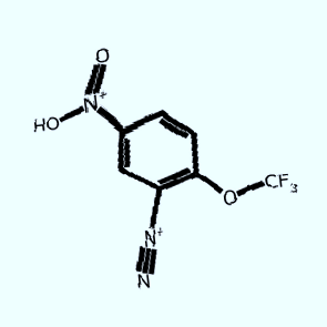 N#[N+]c1cc([N+](=O)O)ccc1OC(F)(F)F